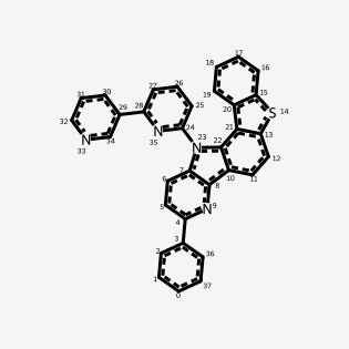 c1ccc(-c2ccc3c(n2)c2ccc4sc5ccccc5c4c2n3-c2cccc(-c3cccnc3)n2)cc1